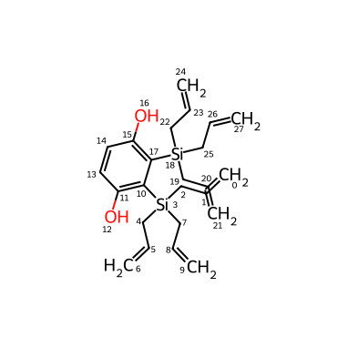 C=CC[Si](CC=C)(CC=C)c1c(O)ccc(O)c1[Si](CC=C)(CC=C)CC=C